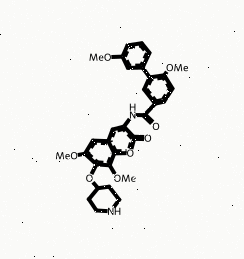 COc1cccc(-c2cc(C(=O)Nc3cc4cc(OC)c(OC5CCNCC5)c(OC)c4oc3=O)ccc2OC)c1